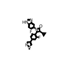 Cn1cc(-c2cc(F)c(C3C(C4CC4)C(=O)N3c3ccc4[nH]cnc4c3)c(F)c2)cn1